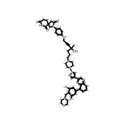 CC(O)(C#CCOc1ccc(N2CC3(CCC(=O)NC3=O)CC2=O)cc1)CCCN1CCN(n2cc(-c3cnc4cccc(-c5cc(F)c(CN6CCOCC6)c(F)c5)c4n3)cn2)CC1